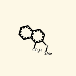 CSSc1ccc2ccccc2c1C(=O)O